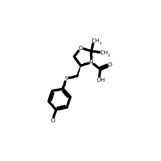 CC1(C)OC[C@H](CSc2ccc(Cl)cc2)N1C(=O)O